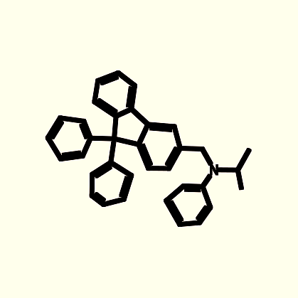 CC(C)N(Cc1ccc2c(c1)-c1ccccc1C2(c1ccccc1)c1ccccc1)c1ccccc1